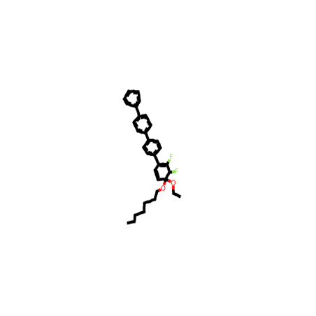 CCCCCCCOC1(OCC)C=CC(c2ccc(-c3ccc(-c4ccccc4)cc3)cc2)=C(F)C1F